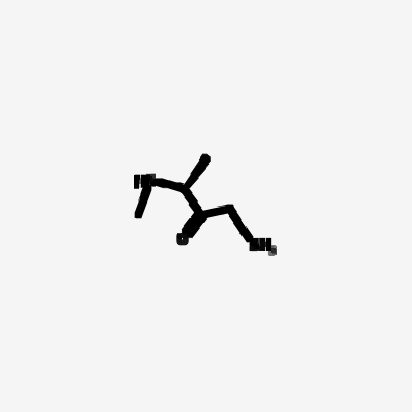 CN[C@@H](C)C(=O)C[SiH3]